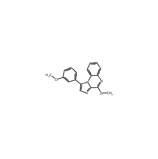 COc1cccc(-c2cnc3c(OC)nc4ccccc4n23)c1